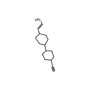 C#CC1CCC(C2CCC(/C=C/CCC)CC2)CC1